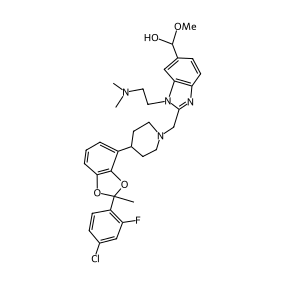 COC(O)c1ccc2nc(CN3CCC(c4cccc5c4OC(C)(c4ccc(Cl)cc4F)O5)CC3)n(CCN(C)C)c2c1